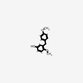 COc1ccc(Cc2cc(O)ccc2OC)cc1